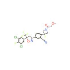 COCC(=O)N1CC(F)(c2ccc(C3=NOC(c4cc(Cl)c(F)c(Cl)c4)(C(F)(F)F)C3)cc2C#N)C1